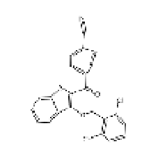 N#Cc1ccc(C(=O)c2sc3ccccc3c2OCc2c(Cl)cccc2Cl)cc1